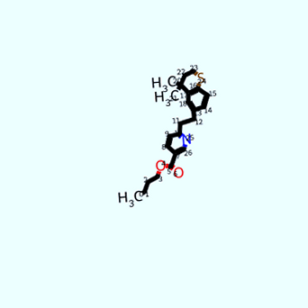 CCCCOC(=O)c1ccc(CCc2ccc3c(c2)C(C)(C)CCS3)nc1